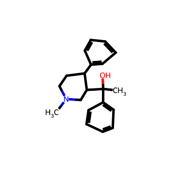 CN1CCC(c2ccccc2)C(C(C)(O)c2ccccc2)C1